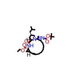 C=C1[C@@H](NC(=O)OC(C)(C)C)CCCCC/C=C\[C@@H]2C[C@@]2(C(=O)OCC)NC(=O)[C@@H]2C[C@@H](CC(C)C)CN12